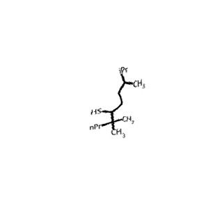 CCCC(C)(C)C(S)CCC(C)C(C)C